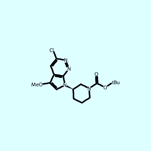 COc1cn([C@@H]2CCCN(C(=O)OC(C)(C)C)C2)c2nnc(Cl)cc12